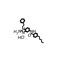 CCCCCc1ccc(C(=O)Nc2ccc3c(c2)nc(N)n3CCc2ccccc2)cc1.Cl